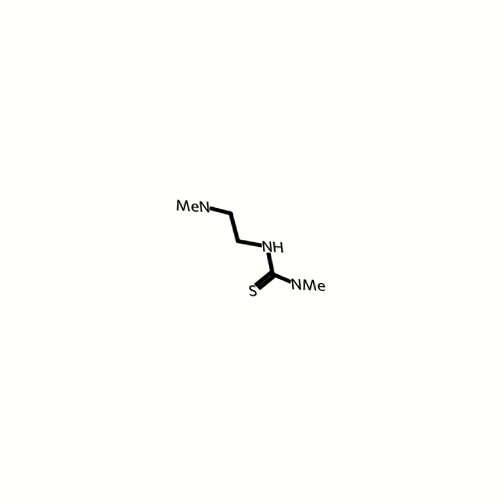 CNCCNC(=S)NC